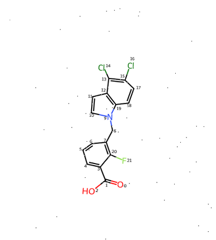 O=C(O)c1cccc(Cn2ccc3c(Cl)c(Cl)ccc32)c1F